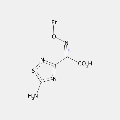 CCO/N=C(/C(=O)O)c1nsc(N)n1